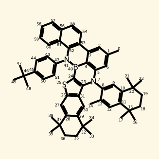 Cc1cc2c3c(c1)N(c1cc4c(cc1C)C(C)(C)CCC4(C)C)c1c(sc4cc5c(cc14)C(C)(C)CCC5(C)C)B3N(c1ccc(C(C)(C)C)cc1)c1c-2ccc2ccccc12